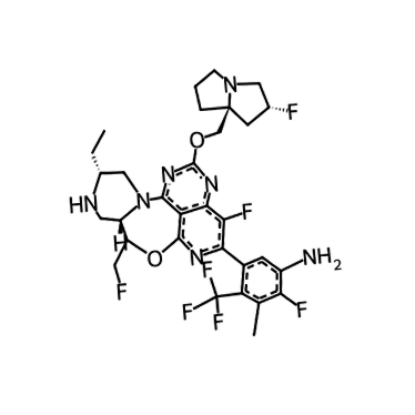 CC[C@@H]1CN2c3nc(OC[C@@]45CCCN4C[C@H](F)C5)nc4c(F)c(-c5cc(N)c(F)c(C)c5C(F)(F)F)nc(c34)OC(CF)[C@@H]2CN1